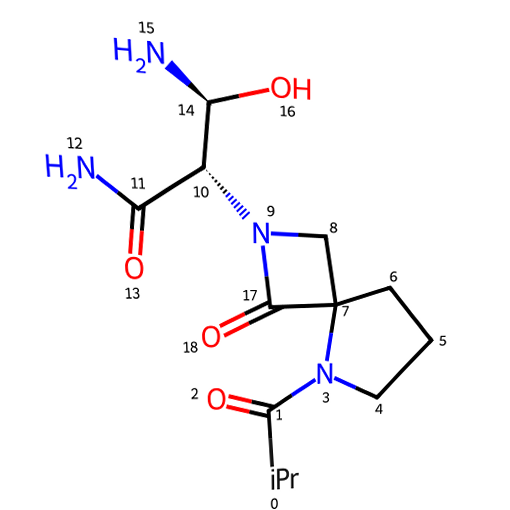 CC(C)C(=O)N1CCCC12CN([C@H](C(N)=O)[C@@H](N)O)C2=O